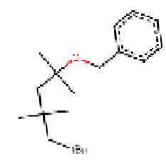 CC(C)(C)CC(C)(C)CC(C)(C)OCc1ccccc1